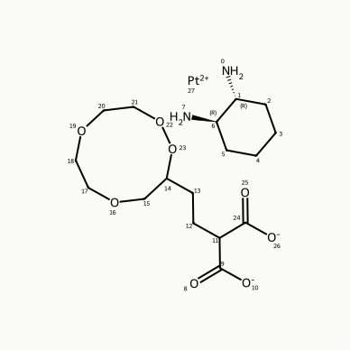 N[C@@H]1CCCC[C@H]1N.O=C([O-])C(CCC1COCCOCCOO1)C(=O)[O-].[Pt+2]